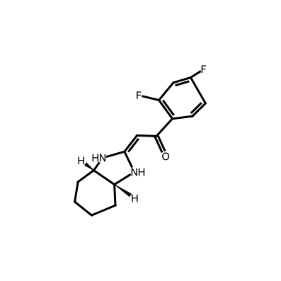 O=C(/C=C1/N[C@H]2CCCC[C@H]2N1)c1ccc(F)cc1F